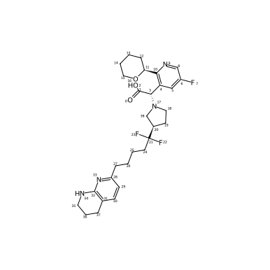 O=C(O)[C@H](c1cc(F)cnc1[C@@H]1CCCCO1)N1CC[C@@H](C(F)(F)CCCCc2ccc3c(n2)NCCC3)C1